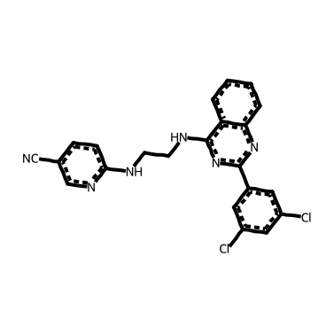 N#Cc1ccc(NCCNc2nc(-c3cc(Cl)cc(Cl)c3)nc3ccccc23)nc1